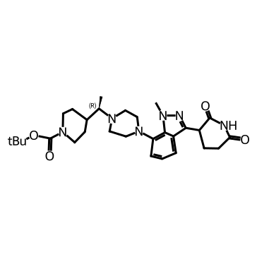 C[C@H](C1CCN(C(=O)OC(C)(C)C)CC1)N1CCN(c2cccc3c(C4CCC(=O)NC4=O)nn(C)c23)CC1